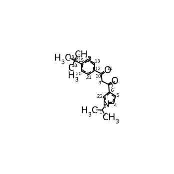 CC(C)n1ccc(C(=O)CC(=O)c2ccc(C(C)(C)C)cc2)c1